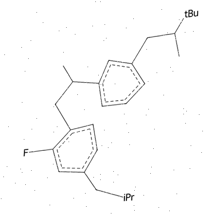 CC(C)Cc1ccc(CC(C)c2cccc(CC(C)C(C)(C)C)c2)c(F)c1